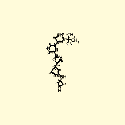 CC(C)(C#N)c1cc(-c2cncc(-c3nnc(-c4cccc(NC5CNC5)c4)o3)n2)ccn1